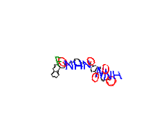 O=C(Cc1c(F)ccc2ccccc12)NCc1ccc(CNC(=O)c2ccc3c(c2)CN(C2CCC(=O)NC2=O)C3=O)cc1